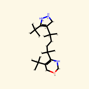 CC(C)(C)C1=C(C(C)(C)CCC(C)(C)C2=C(C(C)(C)C)NNC2)NCOC1